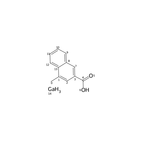 Cc1cc(C(=O)O)cc2ccccc12.[GaH3]